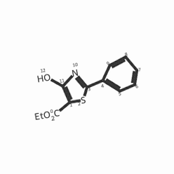 CCOC(=O)c1sc(-c2ccccc2)nc1O